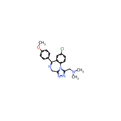 COc1ccc(C2=NCc3nnc(CN(C)C)n3-c3ccc(Cl)cc32)cc1